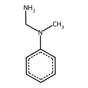 CN(CN)c1ccccc1